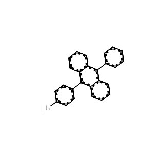 Nc1ccc(-c2c3ccccc3c(-c3ccccc3)c3ccccc23)cc1